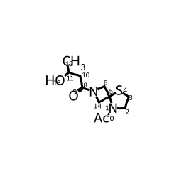 CC(=O)N1CCSC12CN(C(=O)CC(C)O)C2